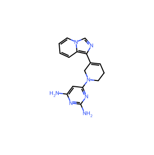 Nc1cc(N2CCC=C(c3ncn4ccccc34)C2)nc(N)n1